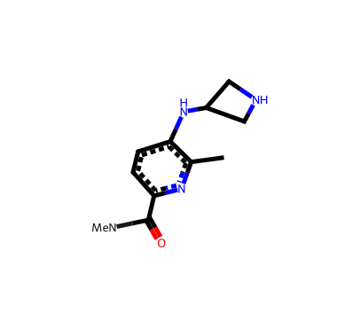 CNC(=O)c1ccc(NC2CNC2)c(C)n1